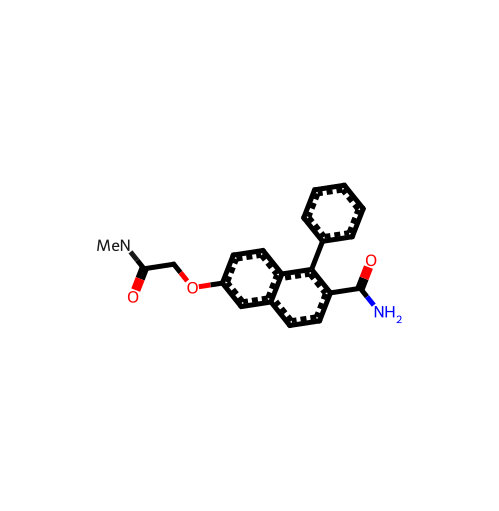 CNC(=O)COc1ccc2c(-c3ccccc3)c(C(N)=O)ccc2c1